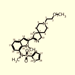 COCCN1CCC2(CC1)CN=C(c1cc3cccc(N(C)S(=O)(=O)c4cccs4)c3n1C)S2